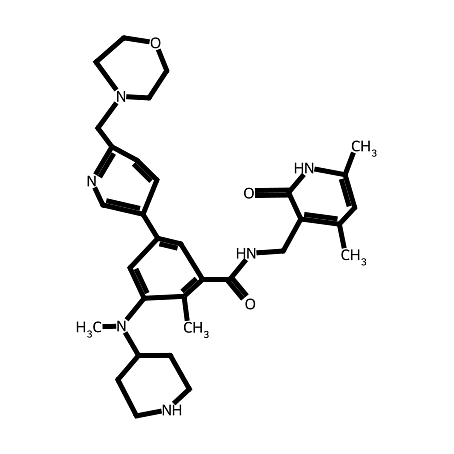 Cc1cc(C)c(CNC(=O)c2cc(-c3ccc(CN4CCOCC4)nc3)cc(N(C)C3CCNCC3)c2C)c(=O)[nH]1